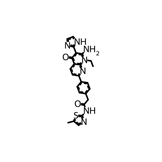 CCn1c(N)c(-c2ncc[nH]2)c(=O)c2ccc(-c3ccc(CC(=O)Nc4ncc(C)s4)cc3)nc21